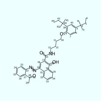 CCC(C)(C)c1ccc(OCCCCNC(=O)c2cc(/N=N/c3ccccc3C(C)=O)c3ccccc3c2O)c(C(C)(C)CC)c1